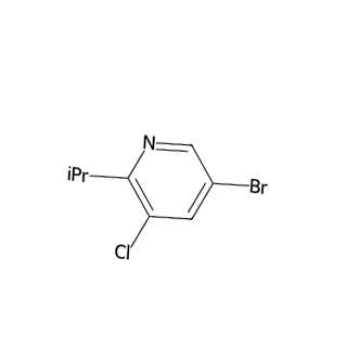 CC(C)c1ncc(Br)cc1Cl